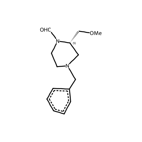 COC[C@@H]1CN(Cc2ccccc2)CCN1C=O